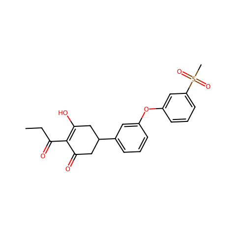 CCC(=O)C1=C(O)CC(c2cccc(Oc3cccc(S(C)(=O)=O)c3)c2)CC1=O